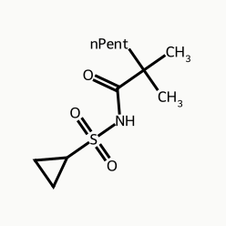 CCCCCC(C)(C)C(=O)NS(=O)(=O)C1CC1